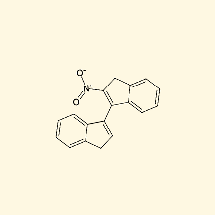 O=[N+]([O-])C1=C(C2=CCc3ccccc32)c2ccccc2C1